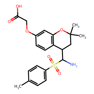 Cc1ccc(S(=O)(=O)C(N)C2CC(C)(C)Oc3cc(OCC(=O)O)ccc32)cc1